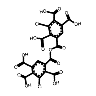 O=C(O)c1cc(C(=O)OC(=O)c2cc(C(=O)O)c(C(=O)O)c(Cl)c2C(=O)O)c(C(=O)O)c(Cl)c1C(=O)O